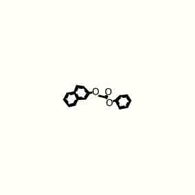 O=C(COc1ccc2ccccc2c1)Oc1ccccc1